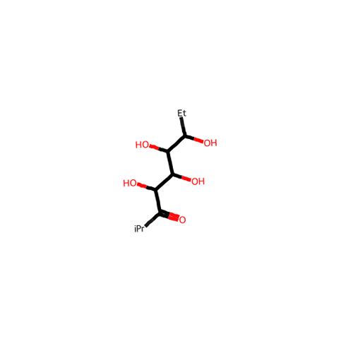 CCC(O)C(O)C(O)C(O)C(=O)C(C)C